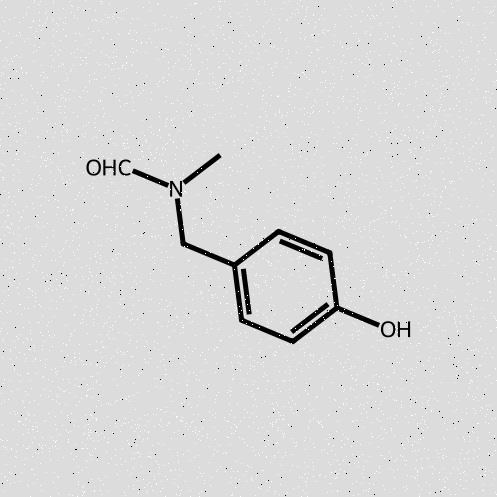 CN(C=O)Cc1ccc(O)cc1